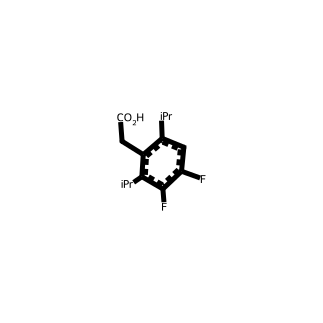 CC(C)c1cc(F)c(F)c(C(C)C)c1CC(=O)O